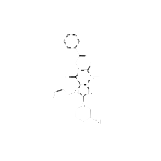 C/C=C\Cn1c(N2CCCC(N)C2)nc2c1c(=O)n(CC(=O)c1ccccc1)c(=O)n2C